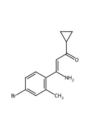 Cc1cc(Br)ccc1C(N)=CC(=O)C1CC1